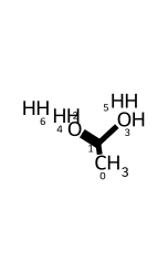 CC(=O)O.[HH].[HH].[HH]